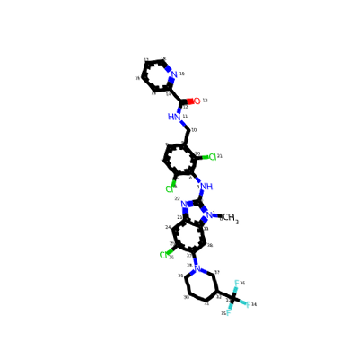 Cn1c(Nc2c(Cl)ccc(CNC(=O)c3ccccn3)c2Cl)nc2cc(Cl)c(N3CCCC(C(F)(F)F)C3)cc21